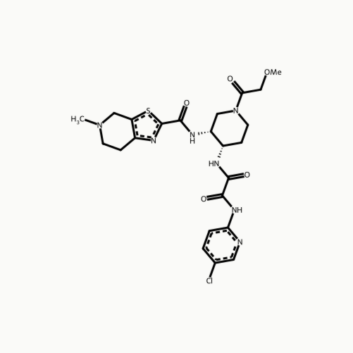 COCC(=O)N1CC[C@H](NC(=O)C(=O)Nc2ccc(Cl)cn2)[C@H](NC(=O)c2nc3c(s2)CN(C)CC3)C1